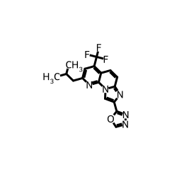 CC(C)Cc1cc(C(F)(F)F)c2ccc3nc(-c4nnco4)cn3c2n1